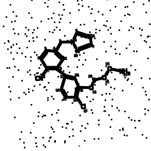 [C-]#[N+]c1ccc(Cn2cncn2)cc1-c1ccc(Cl)c(OSOON)c1